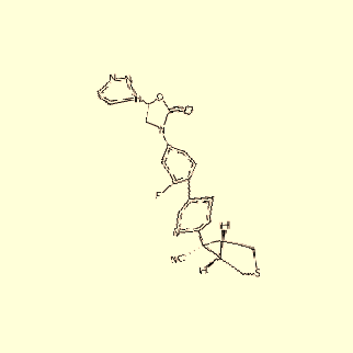 N#C[C@]1(c2ccc(-c3ccc(N4CC(n5ccnn5)OC4=O)cc3F)cn2)[C@@H]2CSC[C@@H]21